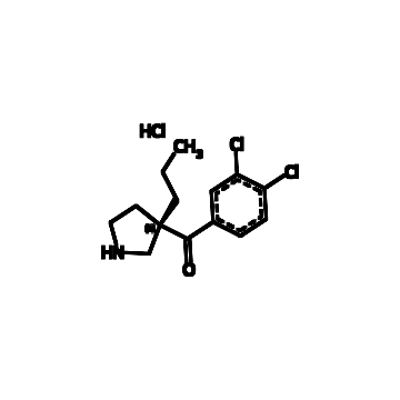 CCC[C@]1(C(=O)c2ccc(Cl)c(Cl)c2)CCNC1.Cl